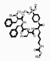 CCOP(=O)(OCC)C1CCN(C(=O)[C@@H](CCCCNC(=O)OC(C)(C)C)NC(=O)[C@@H](CC(C)C)NC(=O)[C@@H](Cc2ccccc2)NC(=O)[C@@H](Cc2ccccc2)N(C(=O)O)C(C)(C)C)CC1